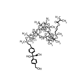 C#CC(O)(c1ccc(CO)cc1)c1ccc(CC[Si](C)(C)O[Si](C)(C)O[Si](C)(C)O[Si](C)(C)O[Si](C)(C)O[Si](C)(C)O[Si](C)(C)O[Si](C)(C)O[Si](C)(C)O[Si](C)(C)O[Si](C)(C)O[Si](C)(C)O[Si](C)(C)CCCOC(=O)C(C)C)cc1